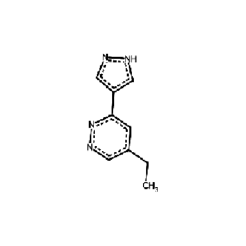 CCc1cnnc(-c2cn[nH]c2)c1